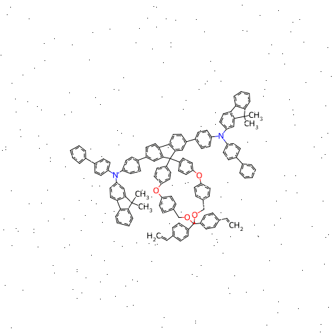 C=Cc1ccc(COCc2ccc(Oc3ccc(C4(c5ccc(Oc6ccc(COCc7ccc(C=C)cc7)cc6)cc5)c5cc(-c6ccc(N(c7ccc(-c8ccccc8)cc7)c7ccc8c(c7)C(C)(C)c7ccccc7-8)cc6)ccc5-c5ccc(-c6ccc(N(c7ccc(-c8ccccc8)cc7)c7ccc8c(c7)C(C)(C)c7ccccc7-8)cc6)cc54)cc3)cc2)cc1